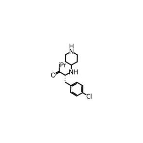 CC(C)C(=O)[C@@H](Cc1ccc(Cl)cc1)NC1CCNCC1